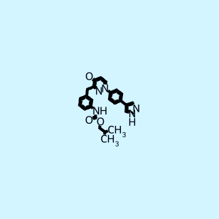 CC(C)COC(=O)Nc1cccc(Cc2nn(-c3ccc(-c4cn[nH]c4)cc3)ccc2=O)c1